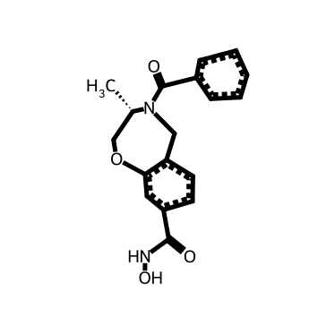 C[C@H]1COc2cc(C(=O)NO)ccc2CN1C(=O)c1ccccc1